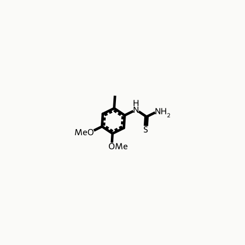 COc1cc(C)c(NC(N)=S)cc1OC